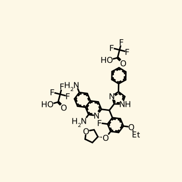 CCOc1cc(O[C@@H]2CCOC2)c(F)c(C(c2cc3cc(N)ccc3c(N)n2)c2nc(-c3ccccc3)c[nH]2)c1.O=C(O)C(F)(F)F.O=C(O)C(F)(F)F